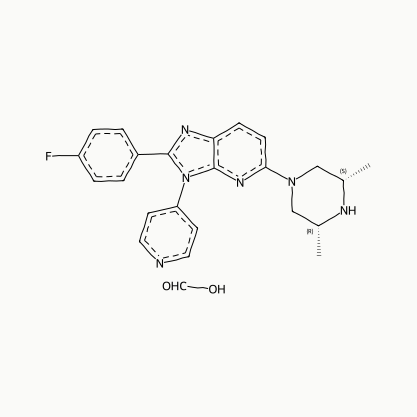 C[C@@H]1CN(c2ccc3nc(-c4ccc(F)cc4)n(-c4ccncc4)c3n2)C[C@H](C)N1.O=CO